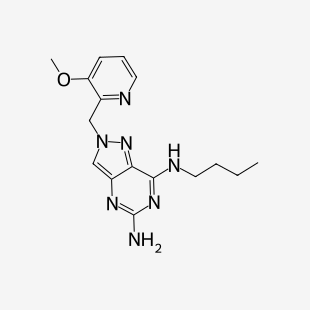 CCCCNc1nc(N)nc2cn(Cc3ncccc3OC)nc12